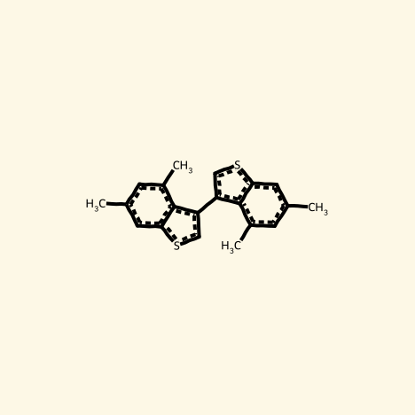 Cc1cc(C)c2c(-c3csc4cc(C)cc(C)c34)csc2c1